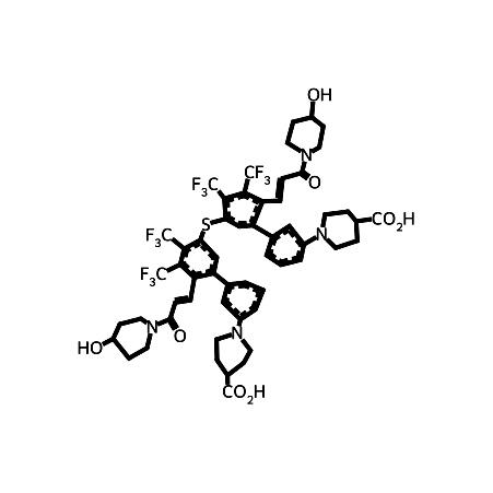 O=C(O)C1CCN(c2cccc(-c3cc(Sc4cc(-c5cccc(N6CCC(C(=O)O)CC6)c5)c(/C=C/C(=O)N5CCC(O)CC5)c(C(F)(F)F)c4C(F)(F)F)c(C(F)(F)F)c(C(F)(F)F)c3/C=C/C(=O)N3CCC(O)CC3)c2)CC1